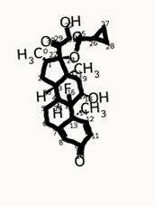 C[C@@H]1C[C@H]2[C@@H]3CCC4=CC(=O)C=C[C@]4(C)C3(F)[C@@H](O)C[C@]2(C)[C@@]1(OC(=O)C1CC1)C(=O)CO